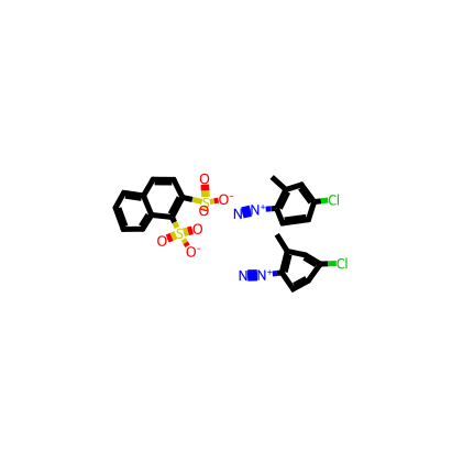 Cc1cc(Cl)ccc1[N+]#N.Cc1cc(Cl)ccc1[N+]#N.O=S(=O)([O-])c1ccc2ccccc2c1S(=O)(=O)[O-]